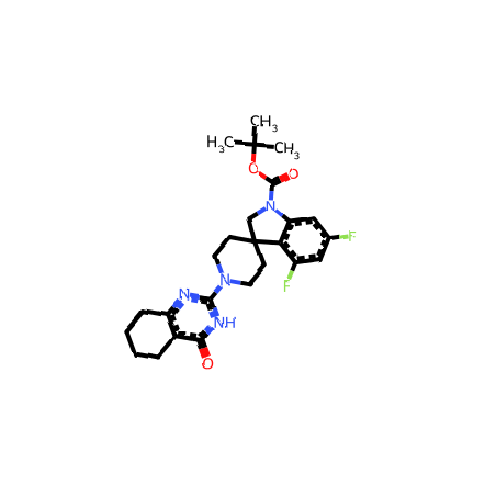 CC(C)(C)OC(=O)N1CC2(CCN(c3nc4c(c(=O)[nH]3)CCCC4)CC2)c2c(F)cc(F)cc21